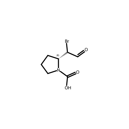 O=CC(Br)[C@H]1CCCN1C(=O)O